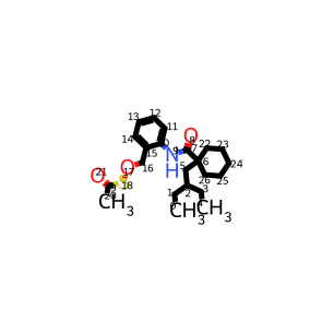 CCC(CC)CC1(C(=O)Nc2ccccc2COSC(C)=O)CCCCC1